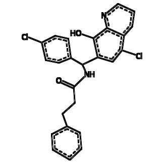 O=C(CCc1ccccc1)NC(c1ccc(Cl)cc1)c1cc(Cl)c2cccnc2c1O